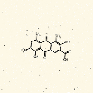 Nc1cc(N)c2c(c1O)C(=O)c1cc(C(=O)O)c(O)c(N)c1C2=O